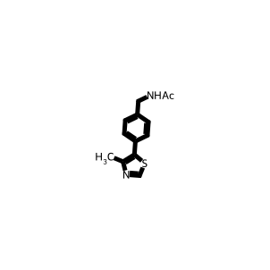 CC(=O)NCc1ccc(-c2scnc2C)cc1